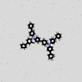 CC1C=C(c2ccccc2)C=CC1N(c1ccc(-c2ccccc2)cc1)c1ccc(-c2ccc(N(c3ccc(-c4ccccc4)cc3)c3ccc(-c4ccccc4)cc3)cc2)cc1